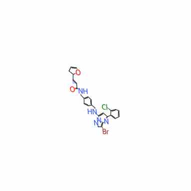 O=C(/C=C/C1CC=CO1)NCc1ccc(CNc2cc(-c3ccccc3Cl)nc3c(Br)cnn23)cc1